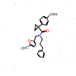 COc1ccc(C2(C(=O)N(CCCc3ccccc3)Cc3ccc(C=O)o3)CC2)cc1